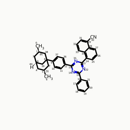 C[C@@H]1C[C@@H]2C[C@H](C)CC(c3ccc(-c4nc(-c5ccccc5)nc(-c5cccc6c(C#N)cccc56)n4)cc3)(C1)C2